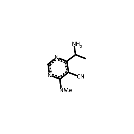 CNc1ncnc(C(C)N)c1C#N